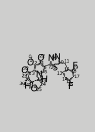 COc1c2n(cc(-c3nnc(Cc4ccc(F)cc4F)s3)c1=O)[C@@H]1CCO[C@@H]1C(C)(C)C2=O